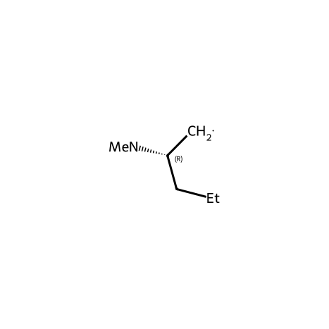 [CH2]CC[C@@H]([CH2])NC